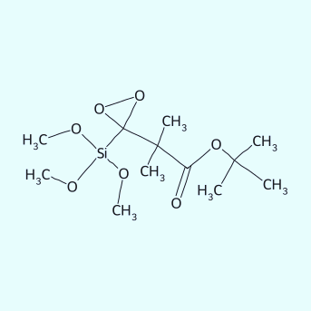 CO[Si](OC)(OC)C1(C(C)(C)C(=O)OC(C)(C)C)OO1